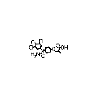 CC(COc1ccc(N(C(N)=O)c2cc(Cl)c(Cl)c(Cl)c2)cc1)C(=O)O